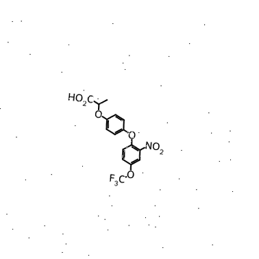 CC(Oc1ccc(Oc2ccc(OC(F)(F)F)cc2[N+](=O)[O-])cc1)C(=O)O